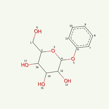 OCC1OC(Oc2ccccc2)C(O)C(O)C1O